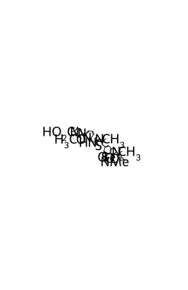 CNS(=O)(=O)c1cc(-c2sc(Nc3cccc(N4CCN(C(=O)O)[C@@H](C)C4=O)n3)nc2C)cc2c1C(=O)N(C(C)C1CC1)C2